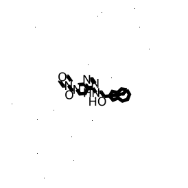 O=C(N1CCOCC1)N1CCc2c(ncnc2NCC(O)C23CC4CCCC(C2)C(C4)C3)C1